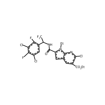 CCOC(=O)c1cc2cc(C(=O)NC(c3cc(Cl)c(F)c(Cl)c3F)C(F)(F)F)n(CC)c2nc1Cl